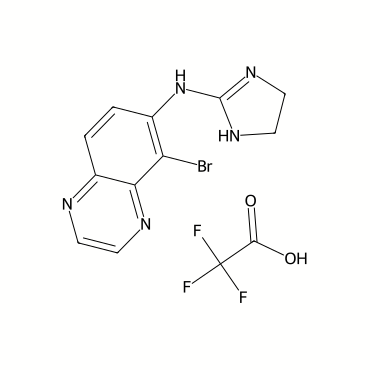 Brc1c(NC2=NCCN2)ccc2nccnc12.O=C(O)C(F)(F)F